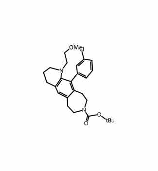 COCCN1CCCc2cc3c(c(-c4cccc(Cl)c4)c21)CCN(C(=O)OC(C)(C)C)CC3